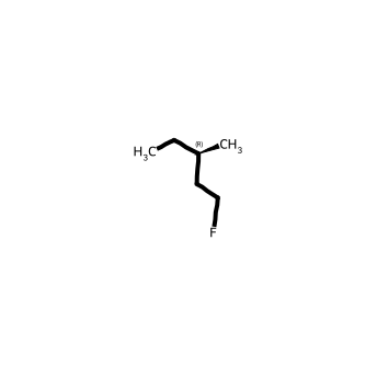 CC[C@@H](C)CCF